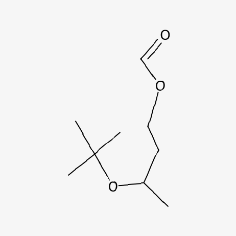 CC(CCOC=O)OC(C)(C)C